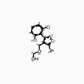 CC(C)c1onc(-c2c(Cl)cccc2Cl)c1COCO